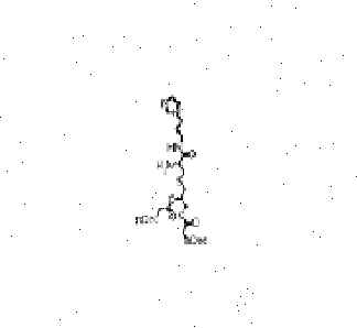 CCCCCCCCCCCC(=O)OC[C@H](CSC[C@H](N)C(=O)NCCCn1ccnc1)OC(=O)CCCCCCCCCCC